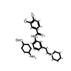 NC1CCC(C=O)CC1.O=C(Nc1cccc(CCN2CCCCC2)c1)c1ccc(Cl)c(Cl)c1